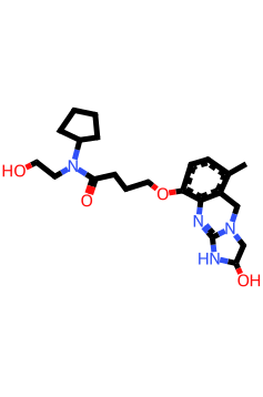 Cc1ccc(OCCCC(=O)N(CCO)C2CCCC2)c2c1CN1CC(O)NC1=N2